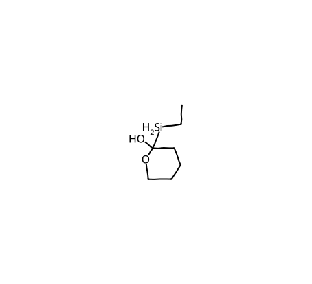 CC[SiH2]C1(O)CCCCO1